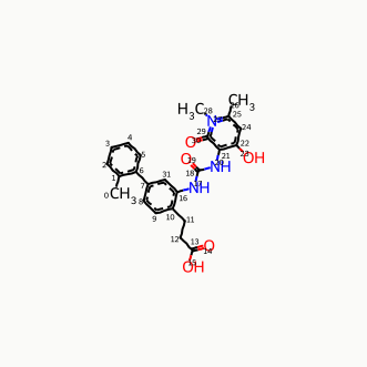 Cc1ccccc1-c1ccc(CCC(=O)O)c(NC(=O)Nc2c(O)cc(C)n(C)c2=O)c1